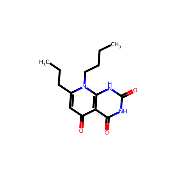 CCCCn1c(CCC)cc(=O)c2c(=O)[nH]c(=O)[nH]c21